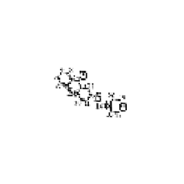 O=c1c2ccccc2sc2ccc(SCN3CCOCC3)cc12